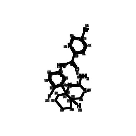 NC1=N[C@@]2(c3cc(NC(=O)c4ccc(Br)cn4)ccc3F)CCCC[C@H]2CS1